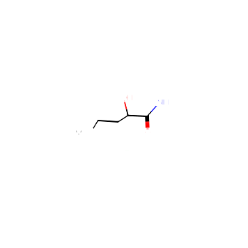 CSCCC(O)C(N)=O.Cl